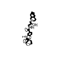 O=C(NC[C@H](O)CN1CCc2ccccc2C1)c1ccc2c(c1)NC(=O)[C@]1(CCOC1)O2